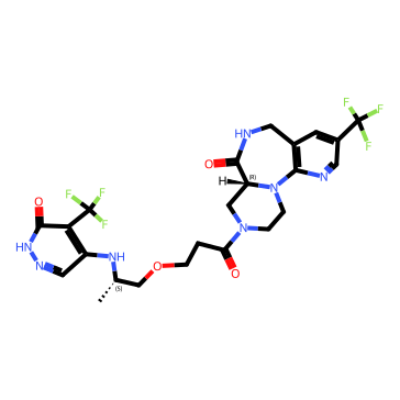 C[C@@H](COCCC(=O)N1CCN2c3ncc(C(F)(F)F)cc3CNC(=O)[C@H]2C1)Nc1cn[nH]c(=O)c1C(F)(F)F